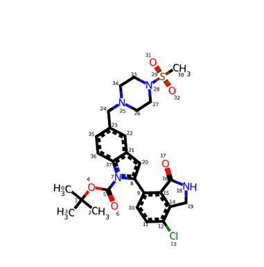 CC(C)(C)OC(=O)n1c(-c2ccc(Cl)c3c2C(=O)NC3)cc2cc(CN3CCN(S(C)(=O)=O)CC3)ccc21